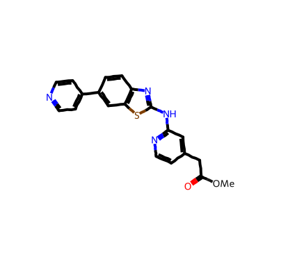 COC(=O)Cc1ccnc(Nc2nc3ccc(-c4ccncc4)cc3s2)c1